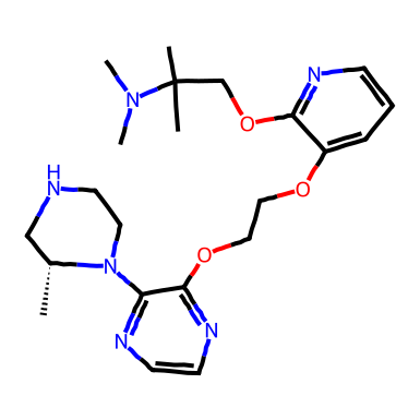 C[C@@H]1CNCCN1c1nccnc1OCCOc1cccnc1OCC(C)(C)N(C)C